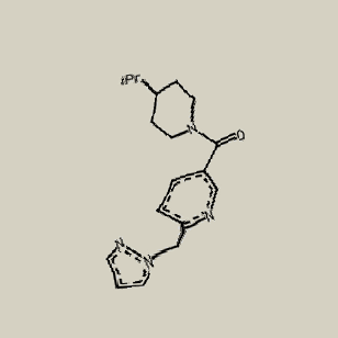 CC(C)C1CCN(C(=O)c2ccc(Cn3cccn3)nc2)CC1